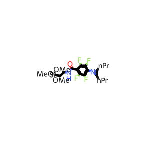 CCCC1C(CCC)N1c1c(F)c(F)c(C(=O)NCC[Si](OC)(OC)OC)c(F)c1F